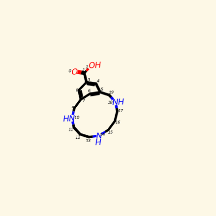 O=C(O)c1cc2cc(c1)CNCCCNCCCNC2